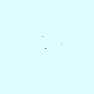 CCCCCC(C)(/C=C/C1CC(C(=O)OC)C(=O)C1(CC(=O)OCC)C(=O)OC)OC1CCCCO1